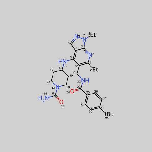 CCc1nc2c(cnn2CC)c(NC2CCN(C(N)=O)CC2)c1CNC(=O)c1ccc(C(C)(C)C)cc1